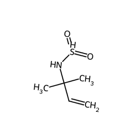 C=CC(C)(C)N[SH](=O)=O